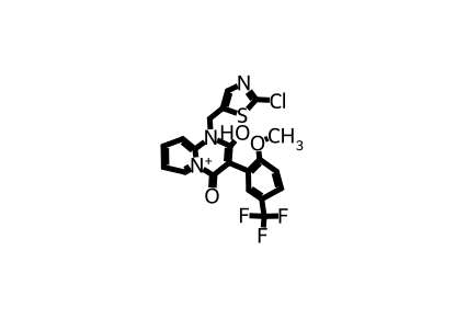 COc1ccc(C(F)(F)F)cc1-c1c(O)n(Cc2cnc(Cl)s2)c2cccc[n+]2c1=O